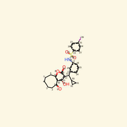 O=C1CCCCCc2oc(=O)c(C(c3cccc(NS(=O)(=O)c4ccc(I)cc4)c3)C3CC3)c(O)c21